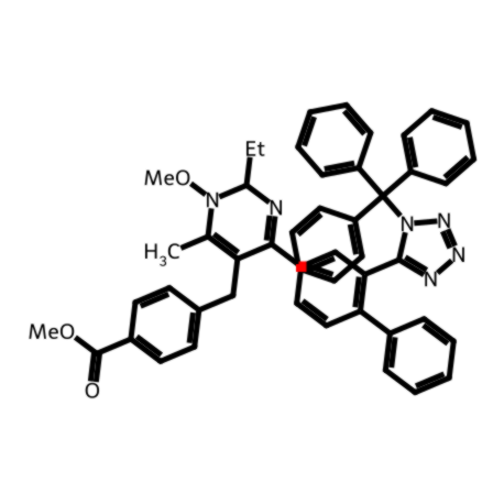 CCC1N=C(c2ccc(-c3ccccc3)c(-c3nnnn3C(c3ccccc3)(c3ccccc3)c3ccccc3)c2)C(Cc2ccc(C(=O)OC)cc2)=C(C)N1OC